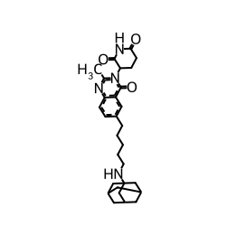 Cc1nc2ccc(CCCCCNC34CC5CC(CC(C5)C3)C4)cc2c(=O)n1C1CCC(=O)NC1=O